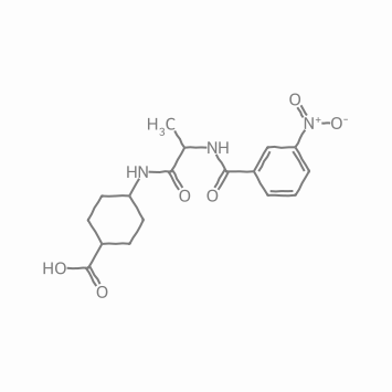 CC(NC(=O)c1cccc([N+](=O)[O-])c1)C(=O)NC1CCC(C(=O)O)CC1